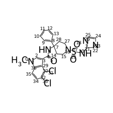 Cn1cc(C(=O)NC2(c3ccccc3)CCN(S(=O)(=O)Nc3cnccn3)CC2)c2c(Cl)c(Cl)ccc21